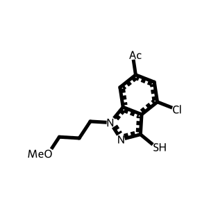 COCCCn1nc(S)c2c(Cl)cc(C(C)=O)cc21